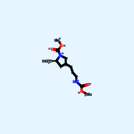 CCOC(=O)[C@@H]1CC(CCCNC(=O)OC(C)(C)C)CN1C(=O)OC(C)(C)C